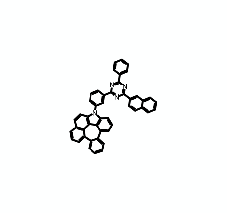 c1ccc(-c2nc(-c3cccc(-n4c5cccc6c5c5c7c(cccc7ccc54)-c4ccccc4-6)c3)nc(-c3ccc4ccccc4c3)n2)cc1